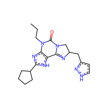 CCCN1C(=O)N2CC(Cc3cc[nH]n3)N=C2c2[nH]c(C3CCCC3)nc21